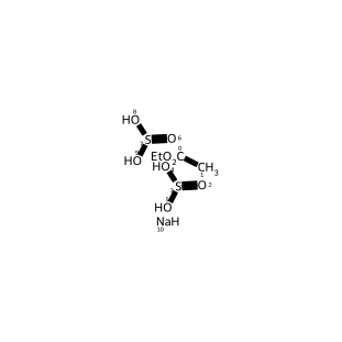 CCOC(C)=O.O=S(O)O.O=S(O)O.[NaH]